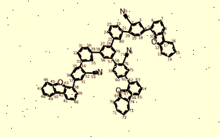 N#Cc1cc(-c2cccc3c2oc2ccccc23)ccc1-c1cccc(-c2cc(-c3cccc(-c4ccc(-c5cccc6c5oc5ccccc56)cc4C#N)c3)cc(-c3ccc(-c4cccc5c4oc4ccccc45)cc3C#N)c2)c1